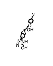 N#C/N=C(\NCCO)N1CC2CC(CN(CC(O)COc3ccc(C#N)cc3)C2)C1